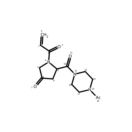 C=CC(=O)N1CC(=O)CC1C(=O)N1CCN(C(C)=O)CC1